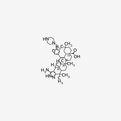 CC1(C)CC[C@]2(C(=O)O)CC[C@]3(C)C(=C(c4coc(CN5CCNCC5)c4)CC4[C@@]5(C)Cc6c(n[nH]c6N)C(C)(C)C5CC[C@]43C)C2C1